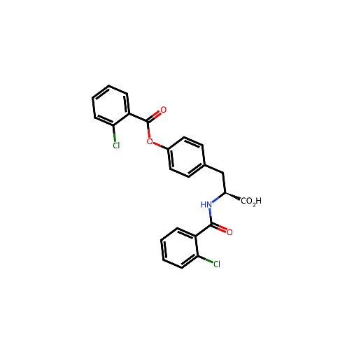 O=C(N[C@@H](Cc1ccc(OC(=O)c2ccccc2Cl)cc1)C(=O)O)c1ccccc1Cl